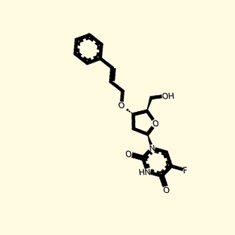 O=c1[nH]c(=O)n([C@H]2C[C@H](OCC=Cc3ccccc3)[C@@H](CO)O2)cc1F